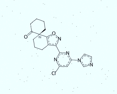 O=C1CCCC[C@@]12CCCc1c(-c3nc(Cl)cc(-n4ccnc4)n3)noc12